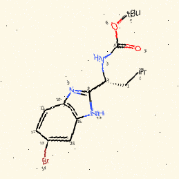 CC(C)C[C@@H](NC(=O)OC(C)(C)C)c1nc2ccc(Br)cc2[nH]1